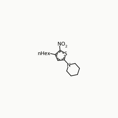 CCCCCCc1cc(N2CCCCC2)sc1[N+](=O)[O-]